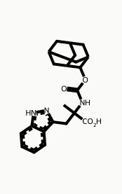 CC(Cc1n[nH]c2ccccc12)(NC(=O)OC1C2CC3CC(C2)CC1C3)C(=O)O